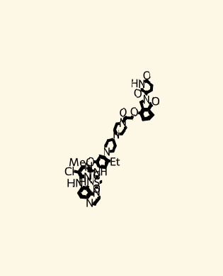 CCc1cc(Nc2ncc(Cl)c(Nc3ccc4nccnc4c3NS(C)(=O)=O)n2)c(OC)cc1N1CCC(N2CCN(C(=O)COc3cccc4c3CN(C3CCC(=O)NC3=O)C4=O)CC2)CC1